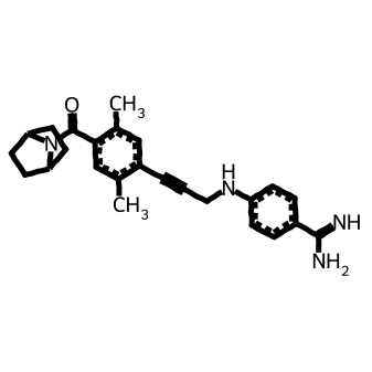 Cc1cc(C(=O)N2C3CCC2CC3)c(C)cc1C#CCNc1ccc(C(=N)N)cc1